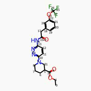 CCOC(=O)C1CCCN(c2ccc(NC(=O)Cc3cccc(OC(F)(F)F)c3)nn2)C1